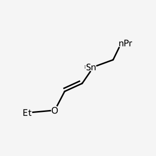 CCC[CH2][Sn][CH]=COCC